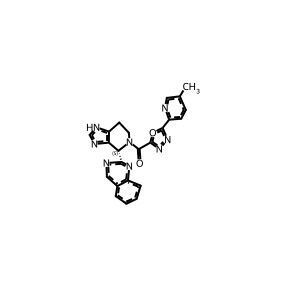 Cc1ccc(-c2nnc(C(=O)N3CCc4[nH]cnc4[C@H]3c3ncc4ccccc4n3)o2)nc1